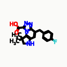 CC1(C)CNc2cc(Cc3ccc(F)cc3)c3nnc(C(=O)O)n3c21